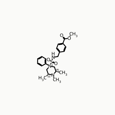 COC(=O)c1ccc(CNS(=O)(=O)[N+]2(c3ccccc3)C[C@@H](C)N(C)[C@@H](C)C2)cc1